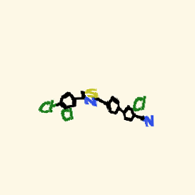 N#Cc1ccc(-c2ccc(-c3nc(-c4ccc(Cl)c(Cl)c4)cs3)cc2)cc1Cl